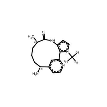 [2H]C([2H])([2H])n1ncc2c1-c1cc(ccn1)[C@@H](N)CCC[C@@H](C)C(=O)N2